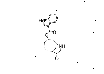 O=C(OC1CCCC2CC(C1)NCC2=O)c1c[nH]c2ccccc12